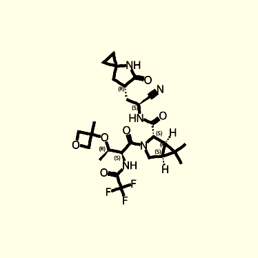 C[C@@H](OC1(C)COC1)[C@H](NC(=O)C(F)(F)F)C(=O)N1C[C@H]2[C@@H]([C@H]1C(=O)N[C@H](C#N)C[C@@H]1CC3(CC3)NC1=O)C2(C)C